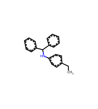 CCc1ccc(NC(c2ccccc2)c2ccccc2)cc1